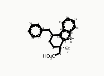 CC[C@]1(CC(=O)O)CCC(Cc2ccccc2)c2c1[nH]c1ccccc21